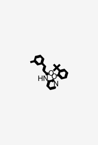 Cc1cccc(C=CC(=O)Nc2cccnc2Oc2ccccc2C(C)(C)C)c1